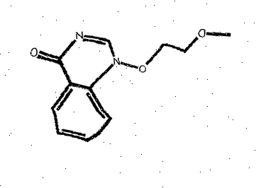 COCCOn1cnc(=O)c2ccccc21